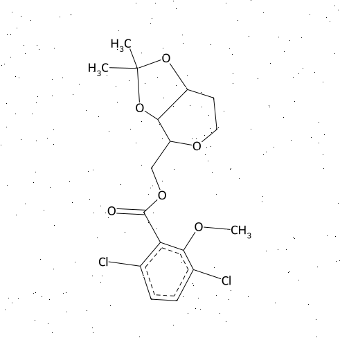 COc1c(Cl)ccc(Cl)c1C(=O)OCC1OCCC2OC(C)(C)OC12